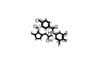 CC(O)CC1CCC(C)C1[S+]([O-])c1cc(C(=O)NC2C=C(F)C(F)=C(F)C2)ccc1Cl